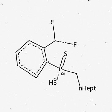 CCCCCCCC[P@@](=S)(S)c1ccccc1C(F)F